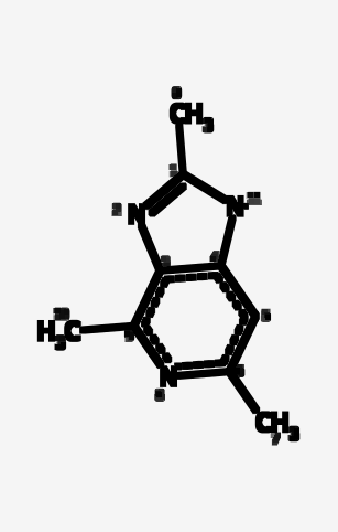 CC1=Nc2c(cc(C)nc2C)[N]1